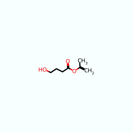 C=C(C)OC(=O)CCCO